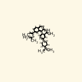 C=C(N)S/C(=C\C)c1ccc2cnc(NC(=C)c3ccnc(N4CCC(N(C)C)CC4)c3)cc2c1